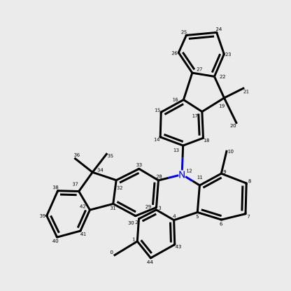 Cc1ccc(-c2cccc(C)c2N(c2ccc3c(c2)C(C)(C)c2ccccc2-3)c2ccc3c(c2)C(C)(C)c2ccccc2-3)cc1